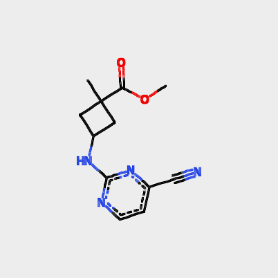 COC(=O)C1(C)CC(Nc2nccc(C#N)n2)C1